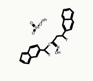 CCCO[SH](=O)=O.ON=C(CC(F)c1ccc2ccccc2c1)CC(F)c1ccc2ccccc2c1